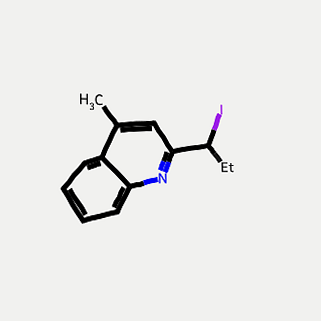 CCC(I)c1cc(C)c2ccccc2n1